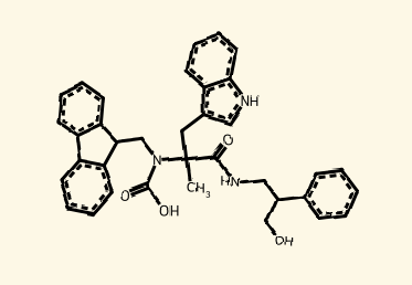 CC(Cc1c[nH]c2ccccc12)(C(=O)NCC(CO)c1ccccc1)N(CC1c2ccccc2-c2ccccc21)C(=O)O